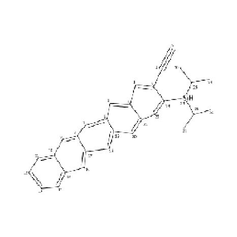 C#Cc1cc2cc3cc4cc5ccccc5cc4cc3cc2cc1[SiH](C(C)C)C(C)C